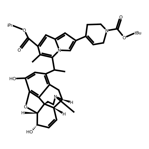 Cc1c(C(=O)OC(C)C)cc2cc(C3=CCN(C(=O)OC(C)(C)C)CC3)cn2c1C(C)c1cc(O)c2c3c1C[C@@H]1[C@@H]4C=C[C@H](O)[C@H](O2)[C@]34CCN1C